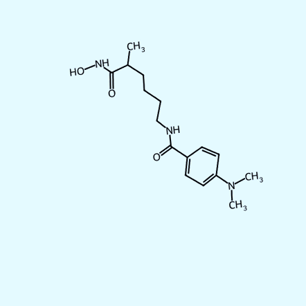 CC(CCCCNC(=O)c1ccc(N(C)C)cc1)C(=O)NO